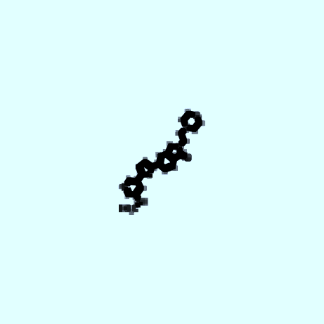 O=C(O)Nc1cncc(-c2ccc(-c3ccc4c(c3)CN(CCN3CCOCC3)C4=O)s2)c1